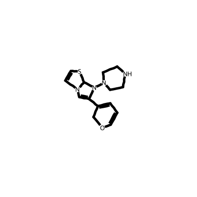 C1=COCC(C2=CN3C=CSC3N2N2CCNCC2)=C1